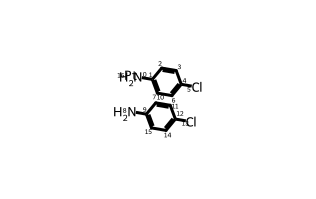 Nc1ccc(Cl)cc1.Nc1ccc(Cl)cc1.[Pt]